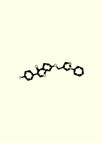 O=c1c(-c2ccc(F)cc2)coc2cc(OCc3cnn(-c4ccccc4)c3)ccc12